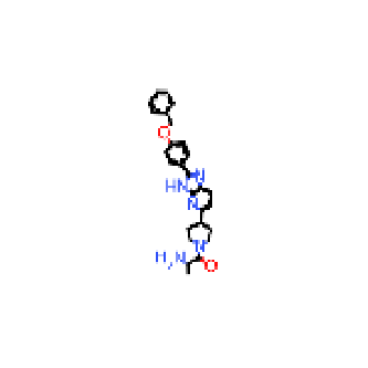 CC(N)C(=O)N1CCC(c2ccc3nc(-c4ccc(OCc5ccccc5)cc4)[nH]c3n2)CC1